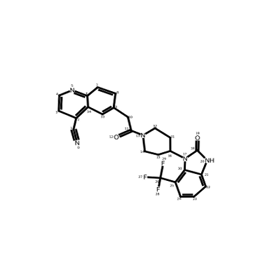 N#Cc1ccnc2ccc(CC(=O)N3CCC(n4c(=O)[nH]c5cccc(C(F)(F)F)c54)CC3)cc12